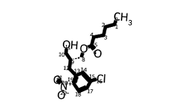 CCCCCC(=O)OC[C@@H](CO)Cc1cc(Cl)ccc1[N+](=O)[O-]